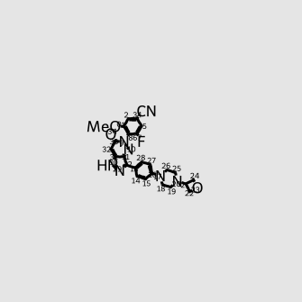 COc1cc(C#N)cc(F)c1-n1nc2c(-c3ccc(N4CCN(C5COC5)CC4)cc3)n[nH]c2cc1=O